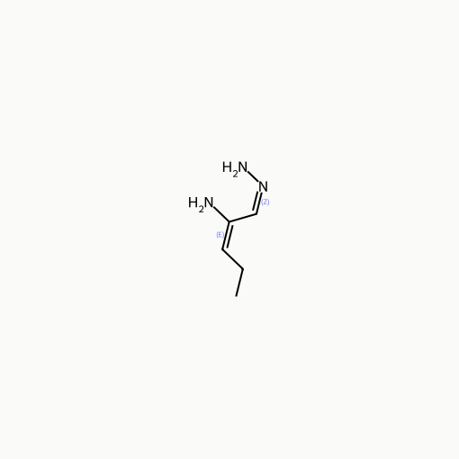 CC/C=C(N)\C=N/N